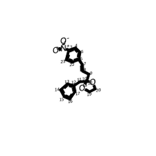 O=[N+]([O-])c1ccc(C=CCC2(Cc3ccccc3)OCCO2)cc1